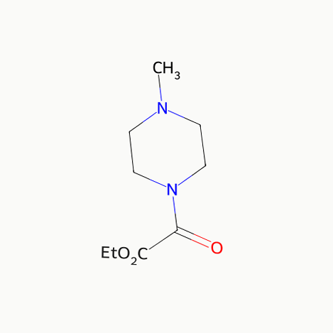 CCOC(=O)C(=O)N1CCN(C)CC1